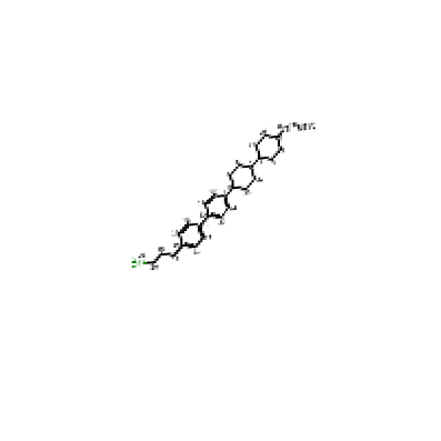 CCCCCC1CCC(C2CCC(c3ccc(-c4ccc(CCCBr)cc4)cc3)CC2)CC1